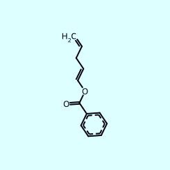 C=CCC=COC(=O)c1ccccc1